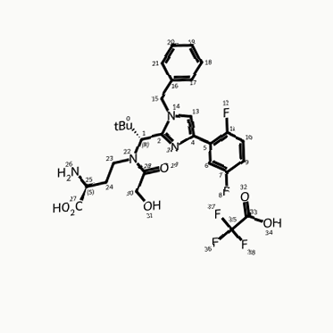 CC(C)(C)[C@H](c1nc(-c2cc(F)ccc2F)cn1Cc1ccccc1)N(CC[C@H](N)C(=O)O)C(=O)CO.O=C(O)C(F)(F)F